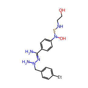 CCc1ccc(CN(N)/N=C(\N)c2ccc(N(O)SNCCO)cc2)cc1